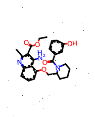 CCOC(=O)c1c(C)nc2cccc(OCC3CCCCN3C(=O)c3cccc(O)c3)c2c1N